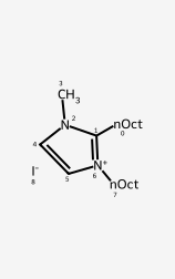 CCCCCCCCc1n(C)cc[n+]1CCCCCCCC.[I-]